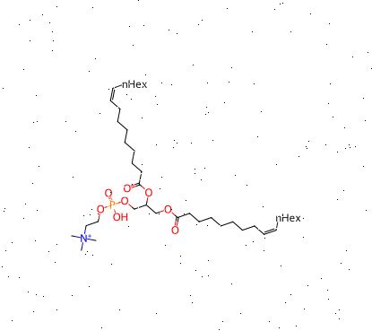 CCCCCC/C=C\CCCCCCCC(=O)OCC(COP(=O)(O)OCC[N+](C)(C)C)OC(=O)CCCCCCC/C=C\CCCCCC